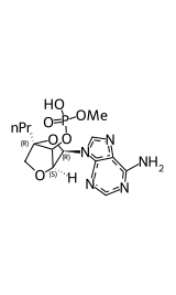 CCC[C@@]12CO[C@@H](C1OP(=O)(O)OC)[C@H](n1cnc3c(N)ncnc31)O2